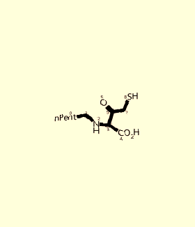 CCCCCCNC(C(=O)O)C(=O)CS